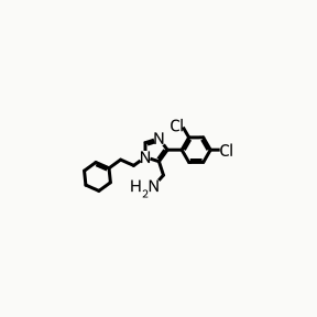 NCc1c(-c2ccc(Cl)cc2Cl)ncn1CCC1=CCCCC1